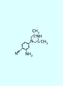 C[C@@H]1CN(c2ccc(C#N)c(N)c2)C[C@H](C)N1